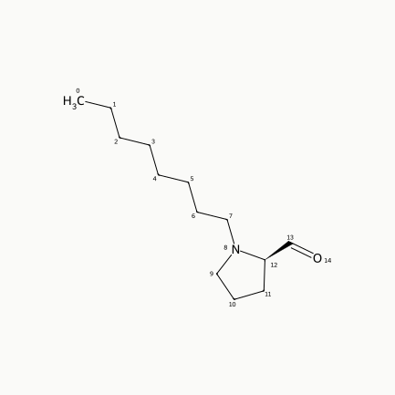 CCCCCCCCN1CCC[C@@H]1C=O